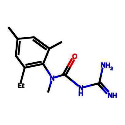 CCc1cc(C)cc(C)c1N(C)C(=O)NC(=N)N